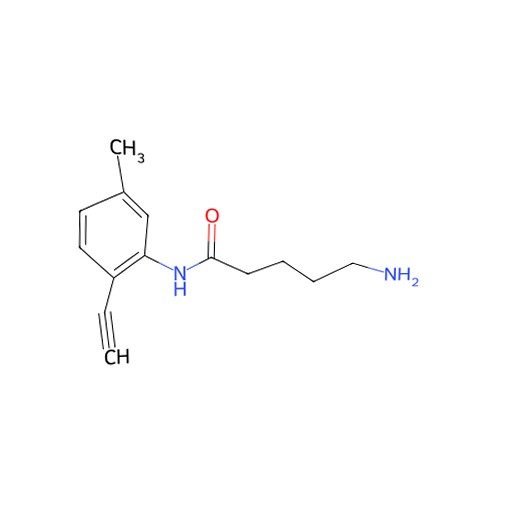 C#Cc1ccc(C)cc1NC(=O)CCCCN